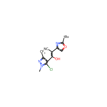 Cn1nc(C(F)(F)F)c(C(O)=C(C#N)c2coc(C(C)(C)C)n2)c1Cl